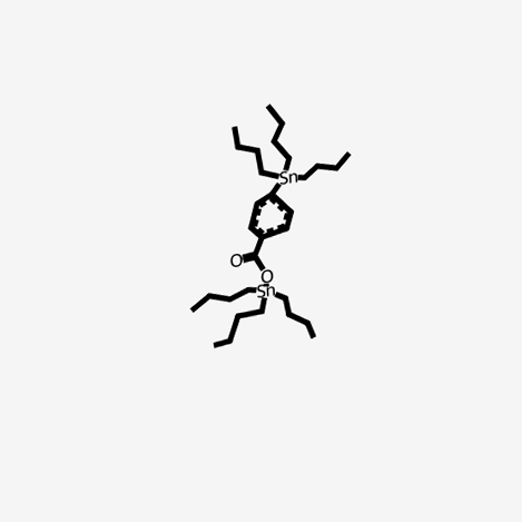 CCC[CH2][Sn]([CH2]CCC)([CH2]CCC)[O]C(=O)c1cc[c]([Sn]([CH2]CCC)([CH2]CCC)[CH2]CCC)cc1